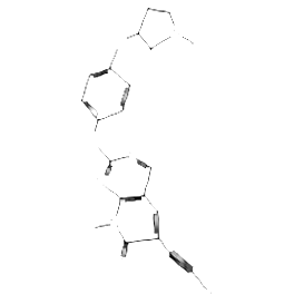 CC(C)C#Cc1cc2cnc(Oc3ccc(OC4CCN(C)C4)cc3)nc2n(C(F)(F)F)c1=O